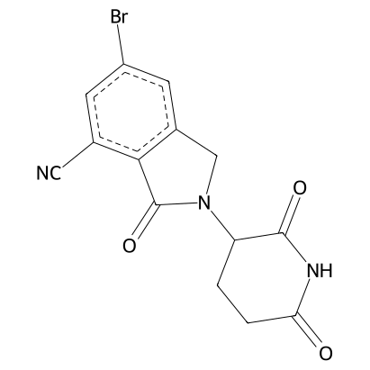 N#Cc1cc(Br)cc2c1C(=O)N(C1CCC(=O)NC1=O)C2